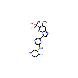 COc1cc2ncc(-c3cncc(N[C@H]4CNCC[C@@H]4F)n3)n2nc1C(C)(O)C(F)(F)F